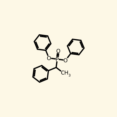 CC(c1ccccc1)P(=O)(Oc1ccccc1)Oc1ccccc1